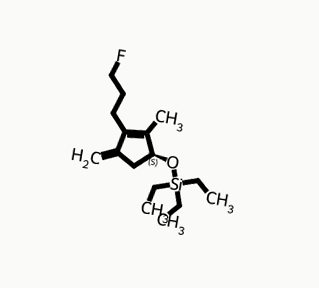 C=C1C[C@H](O[Si](CC)(CC)CC)C(C)=C1CCCF